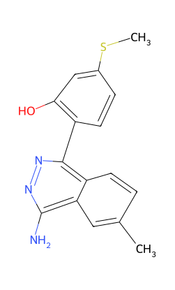 CSc1ccc(-c2nnc(N)c3cc(C)ccc23)c(O)c1